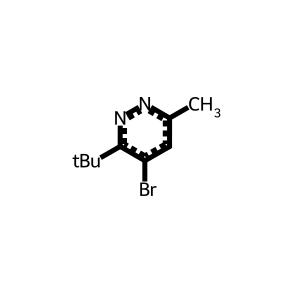 Cc1cc(Br)c(C(C)(C)C)nn1